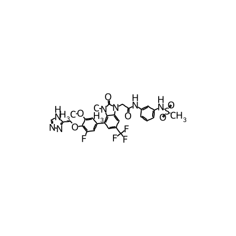 COc1cc(-c2cc(C(F)(F)F)cc3c2n(C)c(=O)n3CC(=O)Nc2cccc(NS(C)(=O)=O)c2)cc(F)c1OCc1nnc[nH]1